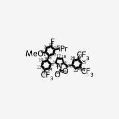 COc1cc(F)c(C(C)C)cc1-c1ccc(C(F)(F)F)cc1[C@@H]1C=CC2[C@@H](c3cc(C(F)(F)F)cc(C(F)(F)F)c3)OC(=O)N21